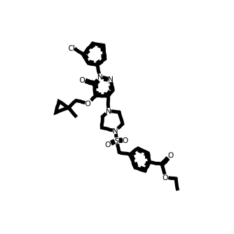 CCOC(=O)c1ccc(CS(=O)(=O)N2CCN(c3cnn(-c4cccc(Cl)c4)c(=O)c3OCC3(C)CC3)CC2)cc1